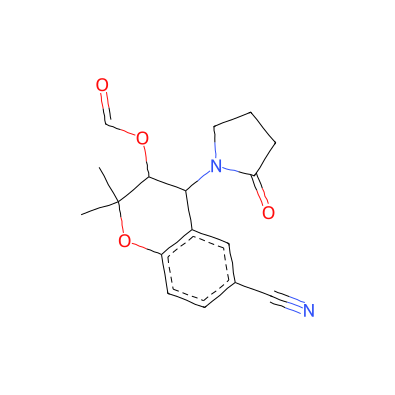 CC1(C)Oc2ccc(C#N)cc2C(N2CCCC2=O)C1OC=O